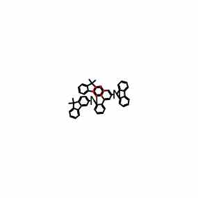 CC1(C)c2ccccc2-c2cc(N(c3ccccc3-c3cc(-n4c5ccccc5c5ccccc54)cc4ccccc34)c3cccc4c3-c3ccccc3C4(C)C)ccc21